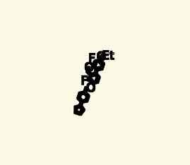 CCOc1ccc2c(c1F)OCc1c-2ccc(OCC2CCC(C3CCCC3)CC2)c1F